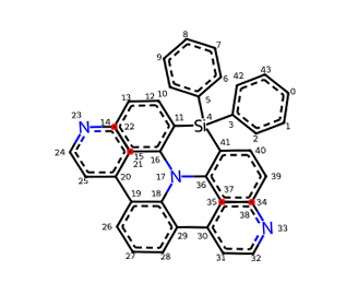 c1ccc([Si]2(c3ccccc3)c3ccccc3N(c3c(-c4ccncc4)cccc3-c3ccncc3)c3ccccc32)cc1